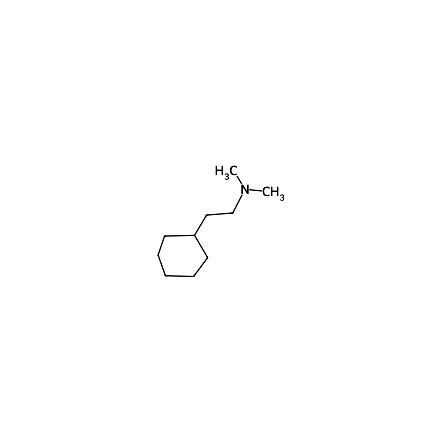 CN(C)CCC1CCCCC1